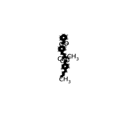 CCCCCc1ccc(C(=O)OC(C)C(Cl)CCc2ccc(OC(=O)c3ccccc3)cc2)cc1